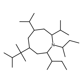 CCC(C)C1CC(C(C)(C)C(C)C)CC(C(C)C)CC(C(C)C)N1C(C)CC